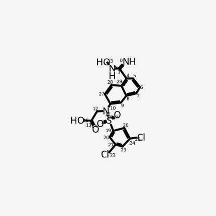 N=C(NO)c1cccc2cc(N(CC(=O)O)S(=O)(=O)c3cc(Cl)cc(Cl)c3)ccc12